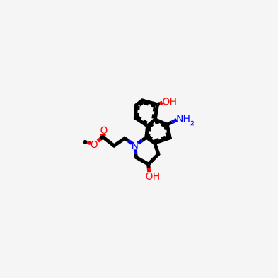 COC(=O)CCN1CC(O)Cc2cc(N)c3c(O)cccc3c21